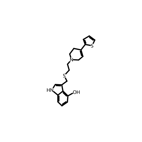 Oc1cccc2[nH]cc(CSCCN3CC=C(c4cccs4)CC3)c12